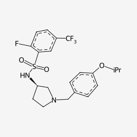 CC(C)Oc1ccc(CN2CC[C@@H](NS(=O)(=O)c3cc(C(F)(F)F)ccc3F)C2)cc1